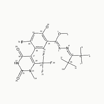 COC(=NN=C(C(C)(C)C)C(C)(C)C)c1cc(-c2c(C(F)(F)F)n(C)c(=O)[nH]c2=O)c(F)cc1Cl